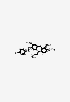 COc1cc(Cc2c(CCN)ccc(OC)c2OC)ccc1OCc1ccc(Cl)nc1.Cl